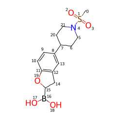 CS(=O)(=O)N1CCC(c2ccc3c(c2)CC(B(O)O)O3)CC1